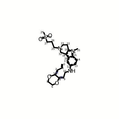 C=C/C=C1/OCCO/C1=C/CNc1ccc2c(c1)c1c(n2C)CCN(CCCS(C)(=O)=O)C1